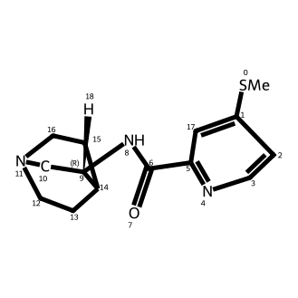 CSc1ccnc(C(=O)N[C@H]2CN3CCC2CC3)c1